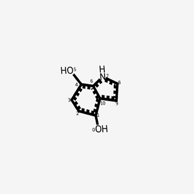 Oc1ccc(O)c2[nH]ccc12